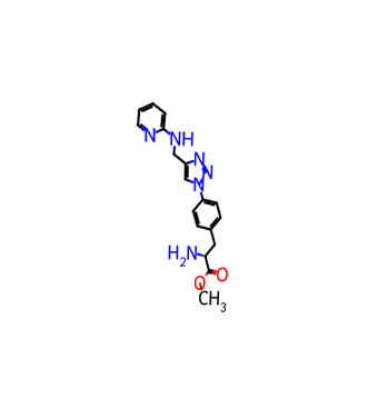 COC(=O)[C@@H](N)Cc1ccc(-n2cc(CNc3ccccn3)nn2)cc1